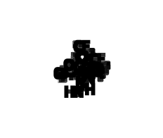 CC(/C(=N/C=N)Nc1ccccn1)N(CC1COC1)C(=O)c1cc(C(F)(F)F)cc(C(F)(F)F)c1